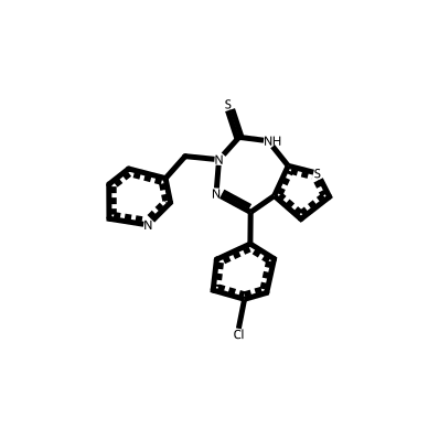 S=C1Nc2sccc2C(c2ccc(Cl)cc2)=NN1Cc1cccnc1